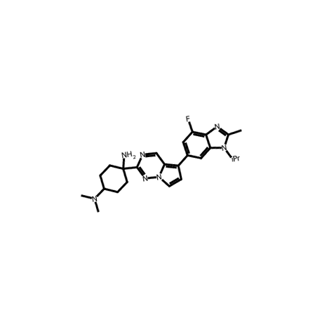 Cc1nc2c(F)cc(-c3ccn4nc(C5(N)CCC(N(C)C)CC5)ncc34)cc2n1C(C)C